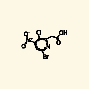 O=C(O)Cc1nc(Br)cc([N+](=O)[O-])c1Cl